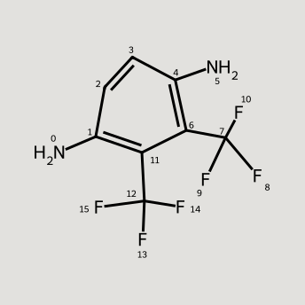 Nc1ccc(N)c(C(F)(F)F)c1C(F)(F)F